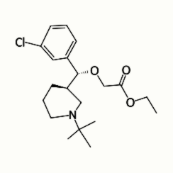 CCOC(=O)CO[C@@H](c1cccc(Cl)c1)[C@@H]1CCCN(C(C)(C)C)C1